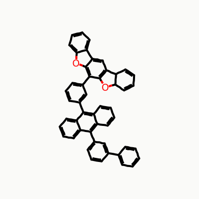 C1=CC2Oc3c(cc4c(oc5ccccc54)c3-c3cccc(-c4c5ccccc5c(-c5cccc(-c6ccccc6)c5)c5ccccc45)c3)C2C=C1